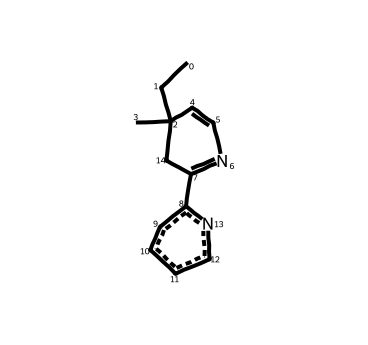 CCC1(C)C=CN=C(c2ccccn2)C1